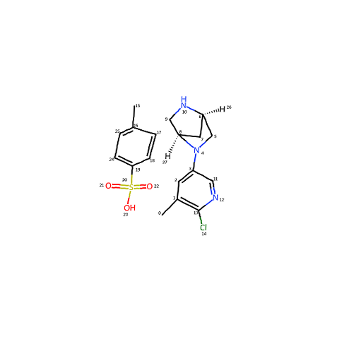 Cc1cc(N2C[C@H]3C[C@@H]2CN3)cnc1Cl.Cc1ccc(S(=O)(=O)O)cc1